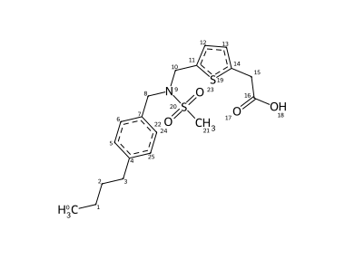 CCCCc1ccc(CN(Cc2ccc(CC(=O)O)s2)S(C)(=O)=O)cc1